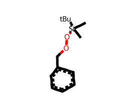 CC(C)(C)[Si](C)(C)OOCc1ccccc1